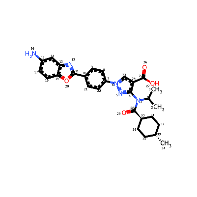 CC(C)N(c1nn(-c2ccc(-c3nc4cc(N)ccc4o3)cc2)cc1C(=O)O)C(=O)[C@H]1CC[C@H](C)CC1